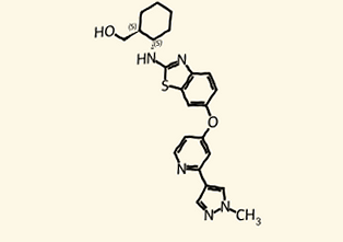 Cn1cc(-c2cc(Oc3ccc4nc(N[C@H]5CCCC[C@@H]5CO)sc4c3)ccn2)cn1